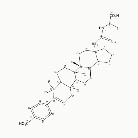 CC(NC(=O)NC12CCCC1C1CCC3C4(C)CC=C(c5ccc(C(=O)O)cc5)C(C)(C)C4CCC3(C)[C@]1(C)CC2)C(=O)O